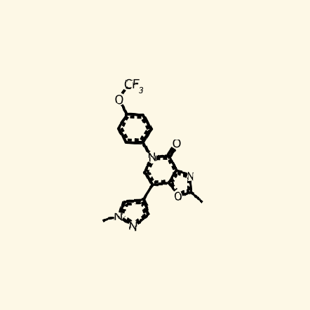 Cc1nc2c(=O)n(-c3ccc(OC(F)(F)F)cc3)cc(-c3cnn(C)c3)c2o1